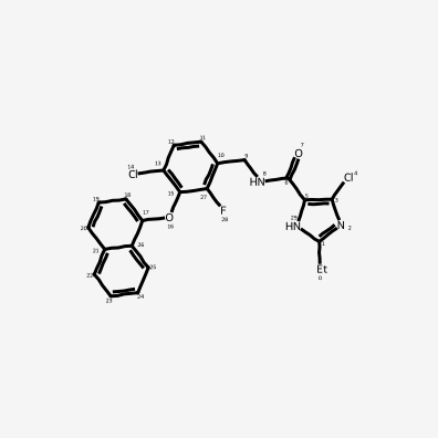 CCc1nc(Cl)c(C(=O)NCc2ccc(Cl)c(Oc3cccc4ccccc34)c2F)[nH]1